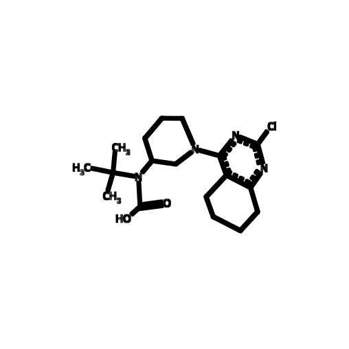 CC(C)(C)N(C(=O)O)C1CCCN(c2nc(Cl)nc3c2CCCC3)C1